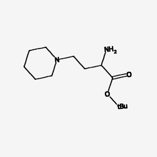 CC(C)(C)OC(=O)C(N)CCN1CCCCC1